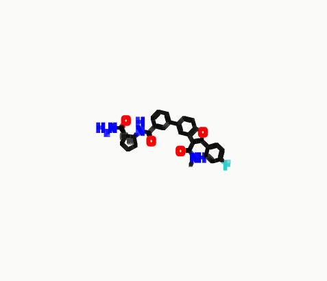 CNC(=O)c1c(-c2ccc(F)cc2)oc2ccc(-c3cccc(C(=O)N[C@H]4CCC[C@H]4C(N)=O)c3)cc12